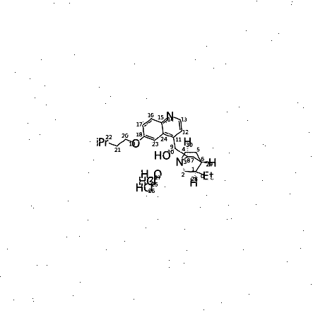 CC[C@H]1C[N@]2CC[C@H]1C[C@@H]2[C@H](O)c1ccnc2ccc(OCCC(C)C)cc12.Cl.Cl.O